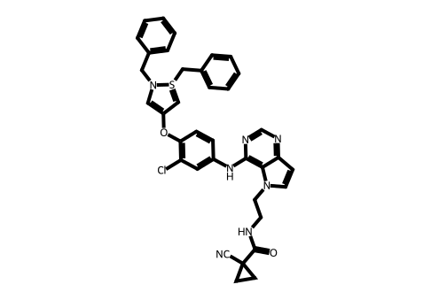 N#CC1(C(=O)NCCn2ccc3ncnc(Nc4ccc(OC5=CN(Cc6ccccc6)S(Cc6ccccc6)=C5)c(Cl)c4)c32)CC1